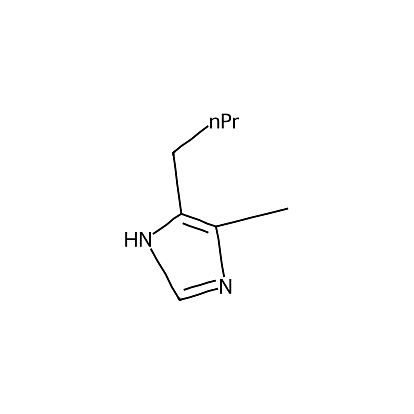 CCCCc1[nH]cnc1C